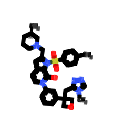 Cc1ccc(S(=O)(=O)n2c(CN3CCC[C@H](C)C3)cc3ccn(-c4cccc(C5(Cc6nncn6C)COC5)c4)c(=O)c32)cc1